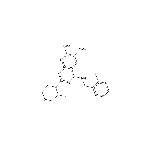 COc1cc2c(NCc3cccnc3C(F)(F)F)nc(N3CCOCC3C)nc2nc1OC